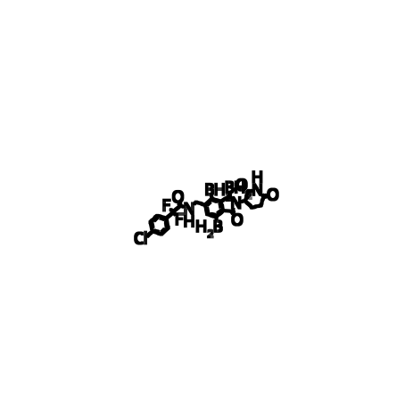 Bc1cc(CNC(=O)C(F)(F)c2ccc(Cl)cc2)c(B)c2c1C(=O)N(C1CCC(=O)NC1=O)C2B